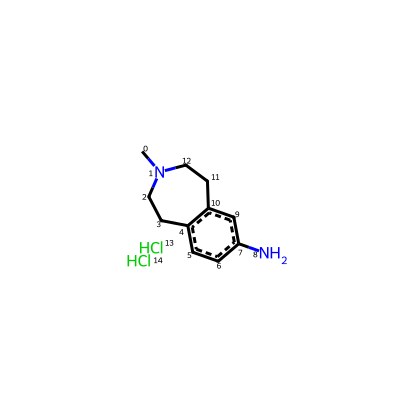 CN1CCc2ccc(N)cc2CC1.Cl.Cl